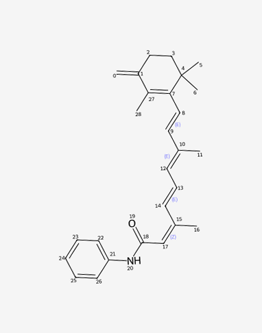 C=C1CCC(C)(C)C(/C=C/C(C)=C/C=C/C(C)=C\C(=O)Nc2ccccc2)=C1C